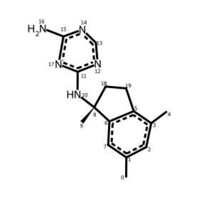 Cc1cc(C)c2c(c1)[C@](C)(Nc1ncnc(N)n1)CC2